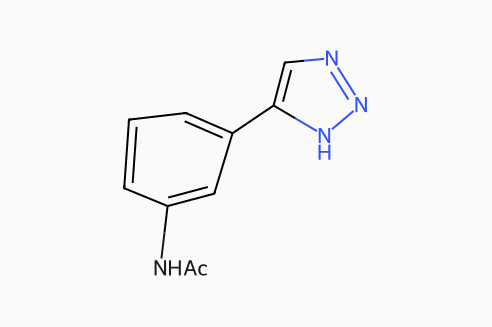 CC(=O)Nc1cccc(-c2cnn[nH]2)c1